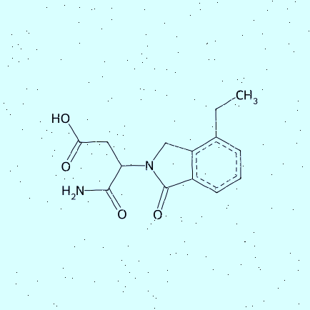 CCc1cccc2c1CN(C(CC(=O)O)C(N)=O)C2=O